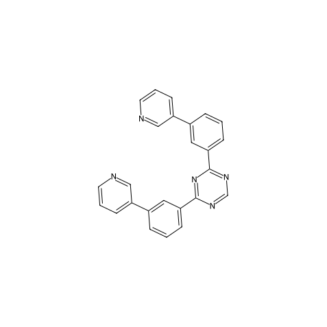 c1cncc(-c2cccc(-c3ncnc(-c4cccc(-c5cccnc5)c4)n3)c2)c1